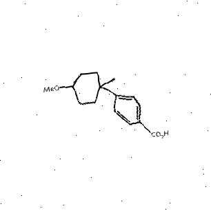 COC1CCC(C)(c2ccc(C(=O)O)cc2)CC1